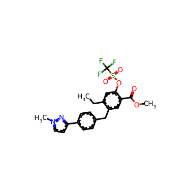 CCc1cc(OS(=O)(=O)C(F)(F)F)c(C(=O)OC)cc1Cc1ccc(-c2ccn(C)n2)cc1